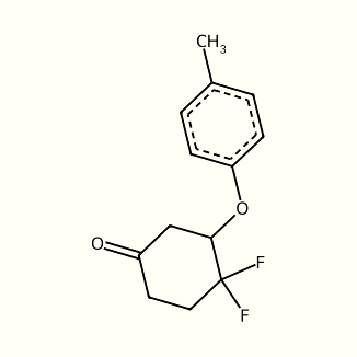 Cc1ccc(OC2CC(=O)CCC2(F)F)cc1